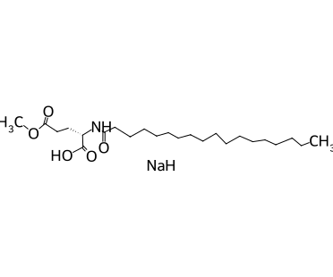 CCCCCCCCCCCCCCCCCC(=O)N[C@@H](CCC(=O)OC)C(=O)O.[NaH]